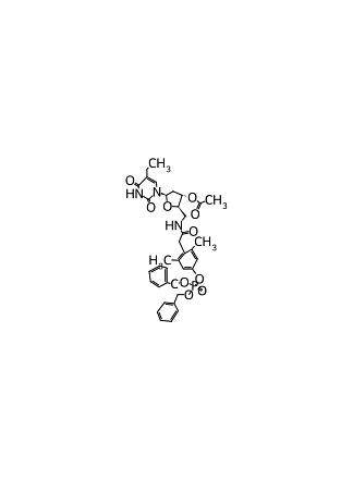 CCc1cn([C@H]2C[C@H](OC(C)=O)[C@@H](CNC(=O)Cc3c(C)cc(OP(=O)(OCc4ccccc4)OCc4ccccc4)cc3C)O2)c(=O)[nH]c1=O